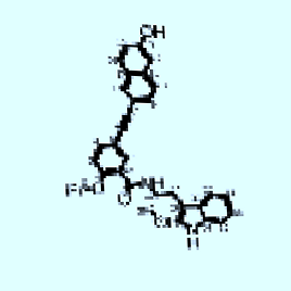 CC(C)Oc1ccc(C#Cc2ccc3cc(O)ccc3c2)cc1C(=O)N[C@@H](CO)Cc1c[nH]c2ccccc12